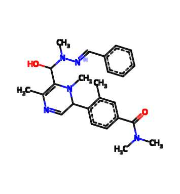 CC1=C(C(O)N(C)/N=C/c2ccccc2)N(C)C(c2ccc(C(=O)N(C)C)cc2C)C=N1